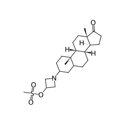 C[C@]12CCC(N3CC(OS(C)(=O)=O)C3)CC1CC[C@@H]1[C@H]2CC[C@]2(C)C(=O)CC[C@@H]12